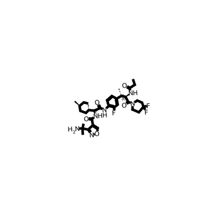 CCC(=O)N[C@@H](C(=O)N1CCC(F)(F)CC1)[C@@H](C)c1ccc(NC(=O)[C@@H](NC(=O)c2conc2C(C)(C)N)[C@H]2CC[C@H](C)CC2)c(F)c1